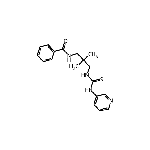 CC(C)(CNC(=O)c1ccccc1)CNC(=S)Nc1cccnc1